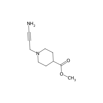 COC(=O)C1CCN(CC#CN)CC1